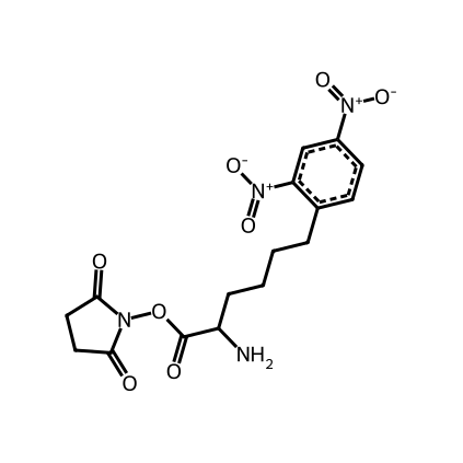 NC(CCCCc1ccc([N+](=O)[O-])cc1[N+](=O)[O-])C(=O)ON1C(=O)CCC1=O